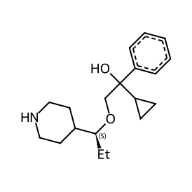 CC[C@H](OCC(O)(c1ccccc1)C1CC1)C1CCNCC1